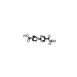 O=C(NO)c1cnc(N2CC3CC2CN3C(=O)O)nc1